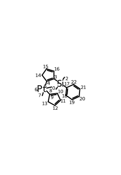 C[Si](C)(C1=[C]([Pt]([CH3])([CH3])([CH3])[C]2=CC=CC2)CC=C1)c1ccccc1